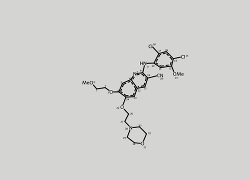 COCCOc1cc2nc(Nc3cc(OC)c(Cl)cc3Cl)c(C#N)cc2cc1OCCN1CCOCC1